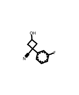 N#CC1(c2cccc(F)c2)CC(O)C1